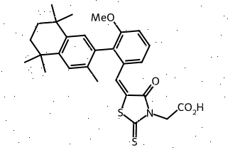 COc1cccc(/C=C2/SC(=S)N(CC(=O)O)C2=O)c1-c1cc2c(cc1C)C(C)(C)CCC2(C)C